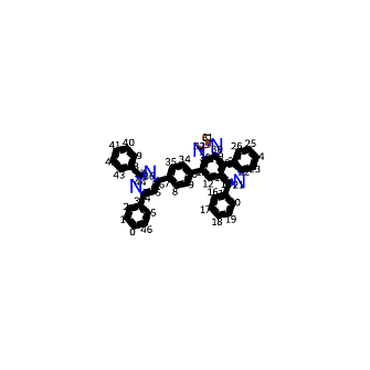 c1ccc(-c2cc(-c3ccc(-c4cc5c(-c6ccccc6)nc6ccccc6c5c5nsnc45)cc3)nc(-c3ccccc3)n2)cc1